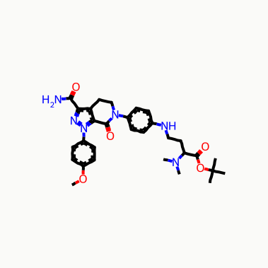 COc1ccc(-n2nc(C(N)=O)c3c2C(=O)N(c2ccc(NCCC(C(=O)OC(C)(C)C)N(C)C)cc2)CC3)cc1